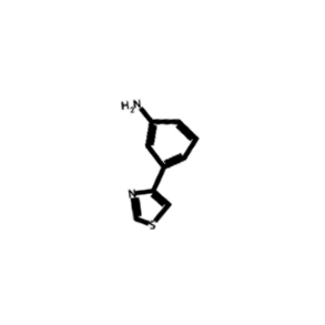 Nc1cccc(-c2cscn2)c1